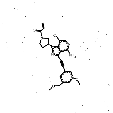 C=CC(=O)N1CC[C@H](n2nc(C#Cc3cc(COC)cc(OC)c3)c3c(N)ncc(Cl)c32)C1